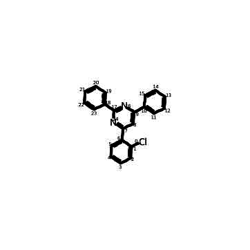 Clc1ccccc1-c1cc(-c2ccccc2)nc(-c2ccccc2)n1